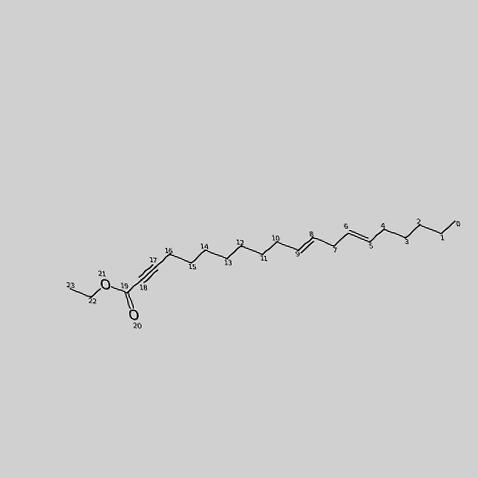 CCCCC/C=C/C/C=C/CCCCCCCC#CC(=O)OCC